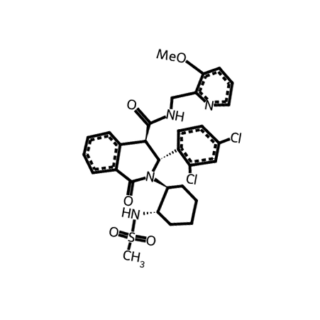 COc1cccnc1CNC(=O)[C@@H]1c2ccccc2C(=O)N([C@H]2CCCC[C@@H]2NS(C)(=O)=O)[C@H]1c1ccc(Cl)cc1Cl